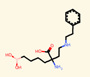 NC(CCCCB(O)O)(CCNCCc1ccccc1)C(=O)O